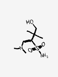 CN(C)C=C(C(C)(C)CO)S(N)(=O)=O